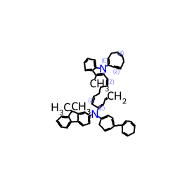 C=C/C=C(\C=C/CC/C=C\c1c(C)c2ccccc2n1C1=C/C/C=C\C/C=C\1)N(C1=CC=C(C2=CC=CCC=C2)C=CC1)c1ccc2c(c1)C(C)(C)c1ccccc1-2